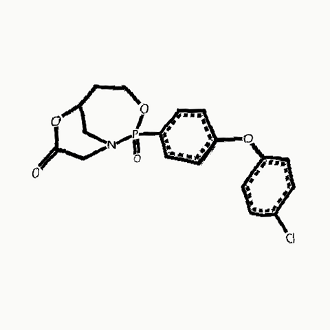 O=C1CN2CC(CCOP2(=O)c2ccc(Oc3ccc(Cl)cc3)cc2)O1